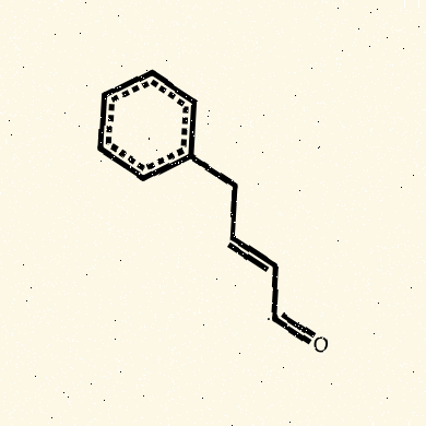 O=[C]C=CCc1ccccc1